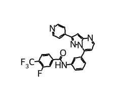 O=C(Nc1cccc(-c2ccnc3cc(-c4ccncc4)nn23)c1)c1ccc(C(F)(F)F)c(F)c1